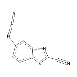 N#Cc1nc2cc(N=C=S)ccc2s1